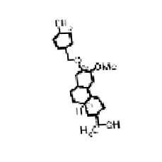 COC1CC2C(CC[C@@H]3CC(C(C)O)CCC23)C[C@H]1OCC1CCC(C)CC1